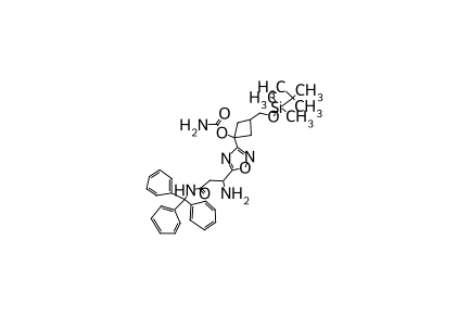 CC(C)(C)[Si](C)(C)OCC1CC(OC(N)=O)(c2noc(C(N)CC(=O)NC(c3ccccc3)(c3ccccc3)c3ccccc3)n2)C1